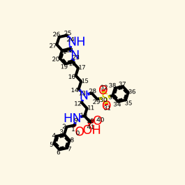 O=C(Cc1ccccc1)NC(CCN(CCCCc1ccc2c(n1)NCCC2)CCS(=O)(=O)c1ccccc1)C(=O)O